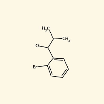 CC(C)C([O])c1ccccc1Br